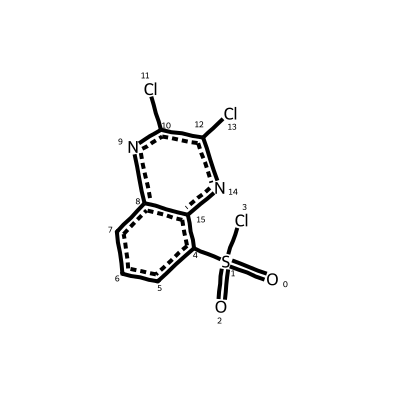 O=S(=O)(Cl)c1cccc2nc(Cl)c(Cl)nc12